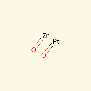 [O]=[Pt].[O]=[Zr]